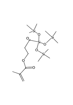 C=C(C)C(=O)OCCC(=O)[Si](O[Si](C)(C)C)(O[Si](C)(C)C)O[Si](C)(C)C